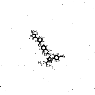 CC(C)c1cc(NC(=O)Nc2ccc(Oc3ccnc(-c4cnn(C)c4)c3)cc2F)n(-c2ccc(C#N)cc2)n1